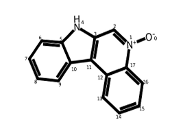 [O-][n+]1cc2[nH]c3ccccc3c2c2ccccc21